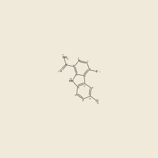 NC(=O)c1ncc(F)c2c1[nH]c1[c]cc(Cl)cc12